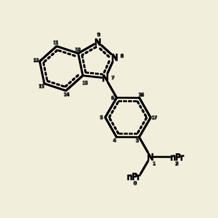 CCCN(CCC)c1ccc(-n2nnc3ccccc32)cc1